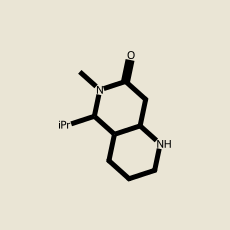 CC(C)C1C2CCCNC2CC(=O)N1C